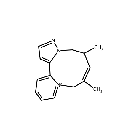 C/C1=C/C(C)Cn2nccc2-c2cccc[n+]2C1